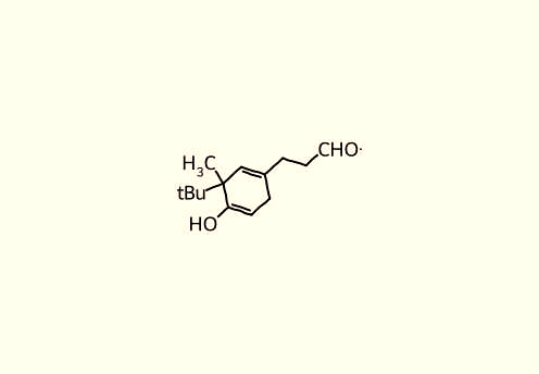 CC(C)(C)C1(C)C=C(CC[C]=O)CC=C1O